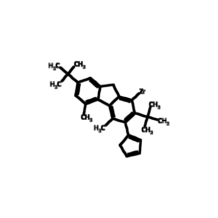 Cc1cc(C(C)(C)C)cc2c1-c1c(C)c(C3=CC=CC3)c(C(C)(C)C)[c]([Zr])c1C2